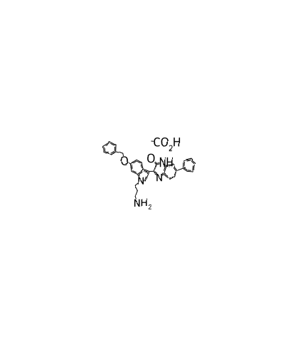 CC(=O)O.NCCCn1cc(-c2nc3ccc(-c4ccccc4)cc3[nH]c2=O)c2ccc(OCc3ccccc3)cc21